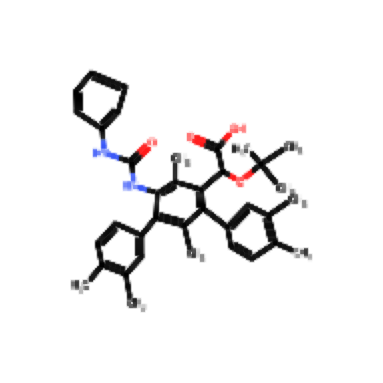 Cc1ccc(-c2c(C)c(-c3ccc(C)c(C)c3)c(C(OC(C)(C)C)C(=O)O)c(C)c2NC(=O)Nc2ccccc2)cc1C